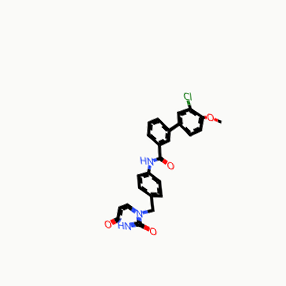 COc1ccc(-c2cccc(C(=O)Nc3ccc(Cn4ccc(=O)[nH]c4=O)cc3)c2)cc1Cl